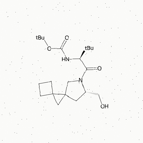 CC(C)(C)OC(=O)N[C@H](C(=O)N1CC2(C[C@H]1CO)CC21CCC1)C(C)(C)C